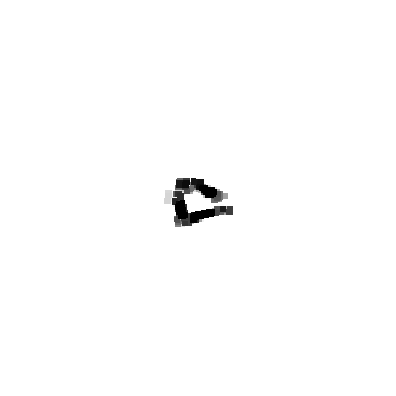 NS.OBO